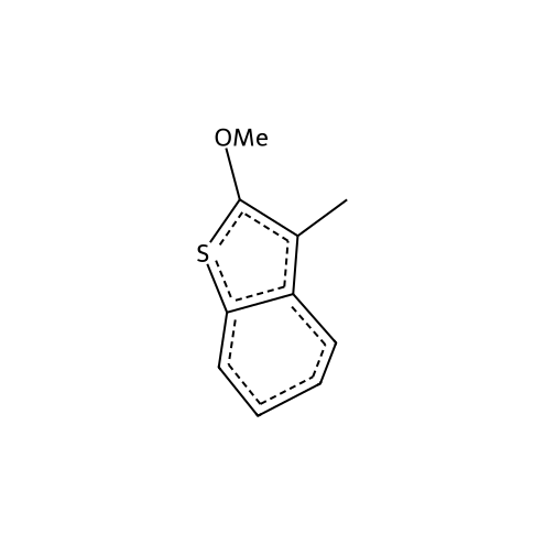 COc1sc2ccccc2c1C